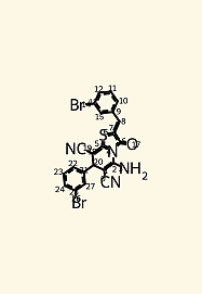 N#CC1=C(N)n2c(s/c(=C\c3cccc(Br)c3)c2=O)=C(C#N)C1c1cccc(Br)c1